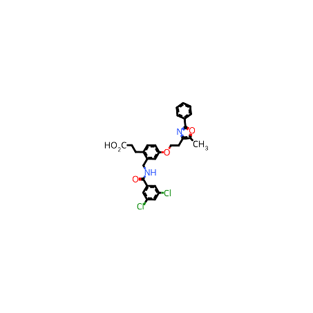 Cc1oc(-c2ccccc2)nc1CCOc1ccc(CCC(=O)O)c(CNC(=O)c2cc(Cl)cc(Cl)c2)c1